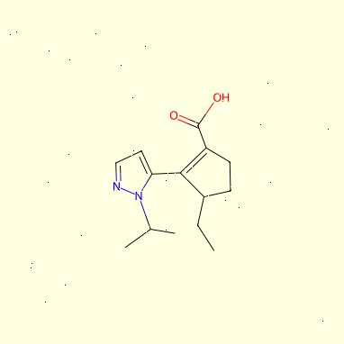 CCC1CCC(C(=O)O)=C1c1ccnn1C(C)C